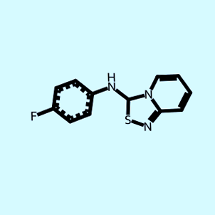 Fc1ccc(NC2SN=C3C=CC=CN32)cc1